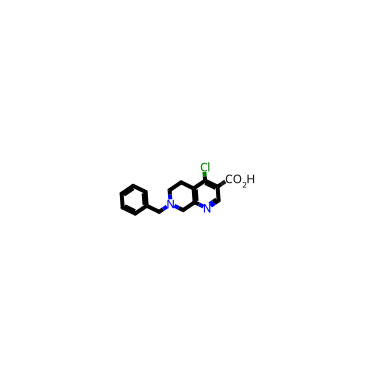 O=C(O)c1cnc2c(c1Cl)CCN(Cc1ccccc1)C2